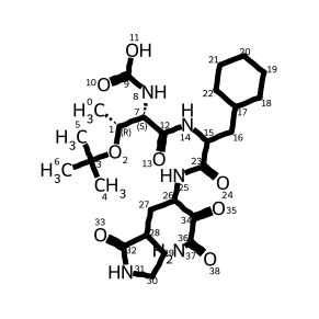 C[C@@H](OC(C)(C)C)[C@H](NC(=O)O)C(=O)NC(CC1CCCCC1)C(=O)NC(CC1CCNC1=O)C(=O)C(N)=O